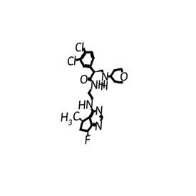 C[C@@H]1C[C@H](F)c2ncnc(NCCNC(=O)[C@H](CNC3CCOCC3)c3ccc(Cl)c(Cl)c3)c21